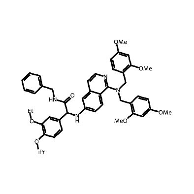 CCOc1cc(C(Nc2ccc3c(N(Cc4ccc(OC)cc4OC)Cc4ccc(OC)cc4OC)nccc3c2)C(=O)NCc2ccccc2)ccc1OC(C)C